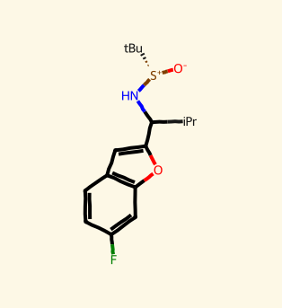 CC(C)C(N[S@@+]([O-])C(C)(C)C)c1cc2ccc(F)cc2o1